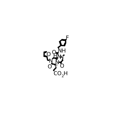 CN1CC(=O)N2[C@@H](CCC(=O)O)C(=O)N(Cc3ccco3)C[C@@H]2N1C(=O)NCc1ccc(F)cc1